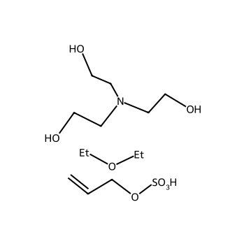 C=CCOS(=O)(=O)O.CCOCC.OCCN(CCO)CCO